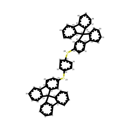 c1ccc2c(c1)-c1ccccc1C21c2ccccc2-c2ccc(Sc3ccc(Sc4ccc5c(c4)C4(c6ccccc6-c6ccccc64)c4ccccc4-5)cc3)cc21